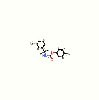 CC(=O)c1cccc(C(C)(C)NC(=O)Oc2ccc(C)cc2)c1